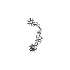 CC(C)(CNCc1ccnc2c(NC(=O)c3ccc(N4C(=O)[C@@H]5[C@H](C4=O)[C@@H]4C=C[C@H]5C4)cc3)cccc12)COCCNC(=O)N[C@H](C(=O)N1CCCC1C=O)C(C)(C)C